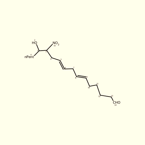 CCCCCC(O)C(CC=CCC=CCCCCC=O)[N+](=O)[O-]